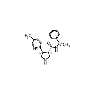 C[C@H](NC(=O)[C@@H]1CNC[C@H]1c1ccc(C(F)(F)F)cn1)c1ccccc1